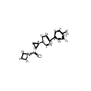 O=C([C@@H]1C[C@H]1C1C=NC(c2ccc(F)cc2)=CC1)N1CCC1